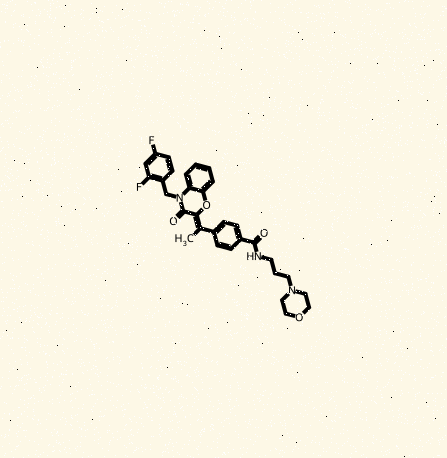 CC(=C1Oc2ccccc2N(Cc2ccc(F)cc2F)C1=O)c1ccc(C(=O)NCCCN2CCOCC2)cc1